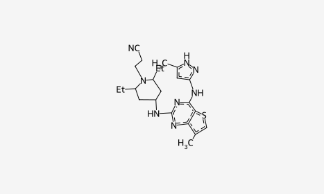 CCC1CC(Nc2nc(Nc3cc(C)[nH]n3)c3scc(C)c3n2)CC(CC)N1CCC#N